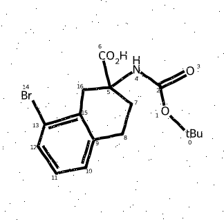 CC(C)(C)OC(=O)NC1(C(=O)O)CCc2cccc(Br)c2C1